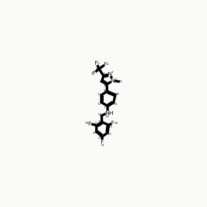 Cn1nc(C(F)(F)F)cc1-c1ccc(NCc2c(F)cc(F)cc2F)cc1